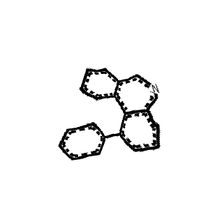 c1ccc(-c2cccc3ncc4ccccc4c23)cc1